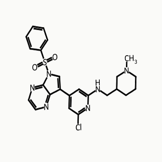 CN1CCCC(CNc2cc(-c3cn(S(=O)(=O)c4ccccc4)c4nccnc34)cc(Cl)n2)C1